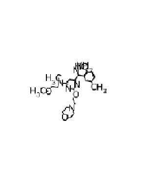 COCCN(C)c1cc(C(=NN)c2cc(C)ccc2O)nc(OCCN2CCOCC2)n1